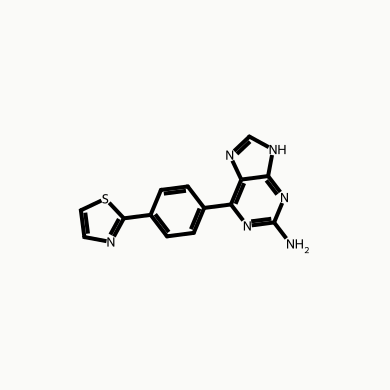 Nc1nc(-c2ccc(-c3nccs3)cc2)c2nc[nH]c2n1